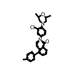 Cc1ccc(-c2cccc3c(=O)n(-c4ccc(N5CC(C)OC(C)C5)c(Cl)c4)ccc23)cc1